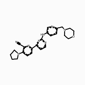 N#Cc1nc(-c2ccnc(Nc3ccc(CN4CCOCC4)nc3)n2)ccc1N1CCCC1